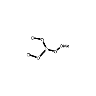 COOP(OCl)OCl